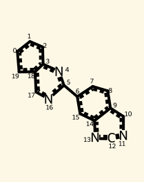 c1ccc2nc(-c3ccc4cncnc4c3)ncc2c1